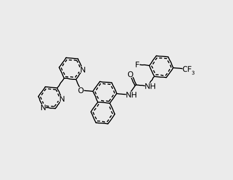 O=C(Nc1cc(C(F)(F)F)ccc1F)Nc1ccc(Oc2ncccc2-c2ccncn2)c2ccccc12